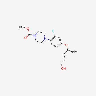 CCC[C@@H](CCCO)Oc1ccc(N2CCN(C(=O)OC(C)(C)C)CC2)c(F)c1